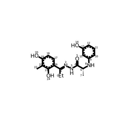 CC/C(=N\NC(=O)[C@@H](C)Nc1cccc(O)c1)c1ccc(O)c(C)c1O